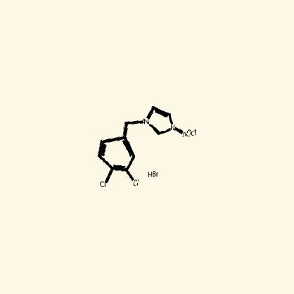 Br.CCCCCCCCN1C=CN(Cc2ccc(Cl)c(Cl)c2)C1